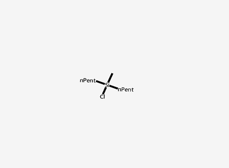 CCCCC[Si](C)(Cl)CCCCC